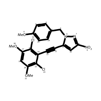 COc1ccc(Cn2nc([N+](=O)[O-])cc2C#Cc2c(Cl)c(OC)cc(OC)c2Cl)cc1